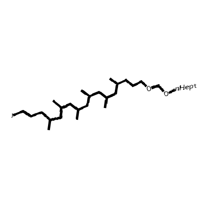 CCCCCCCOCOCCCC(C)CC(C)CC(C)CC(C)CC(C)CC(C)CCCI